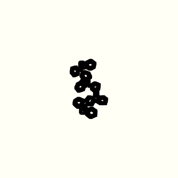 O=P(c1ccccc1)(c1ccccc1)c1ccc2c(c1)c1ccccc1n2-c1cccc(-n2c3ccccc3c3cc(P(=O)(c4ccccc4)c4ccccc4)ccc32)c1